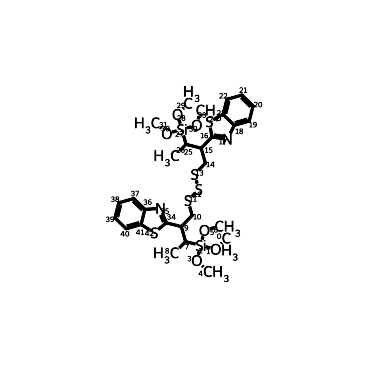 CO[Si](OC)(OC)C(C)C(CSSSCC(c1nc2ccccc2s1)C(C)[Si](OC)(OC)OC)c1nc2ccccc2s1